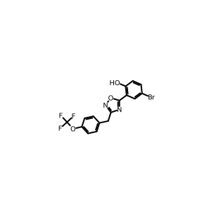 Oc1ccc(Br)cc1-c1nc(Cc2ccc(OC(F)(F)F)cc2)no1